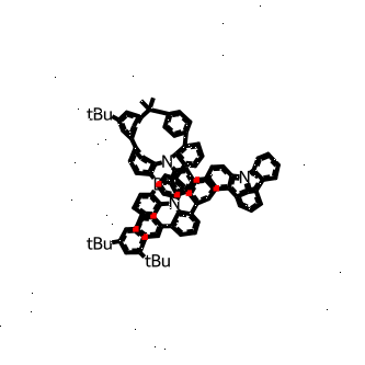 CC(C)(C)c1cc(-c2ccc3c(c2)N(c2c(-c4ccccc4)cccc2-c2ccccc2)c2cc(-c4ccc5c(c4)c4cccc6c7ccccc7n5c64)cc4c2B3c2ccc3cc2N4c2c(-c4ccccc4)cccc2-c2ccc(cc2)C(C)(C)c2cc-3cc(C(C)(C)C)c2)cc(C(C)(C)C)c1